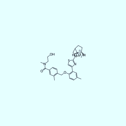 Cc1ccc(OCc2ccc(C(=O)N(C)CCO)cc2C)c(-c2csc(N3CC4CC[C@H](C3)[C@@H]4C(=O)O)n2)c1